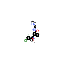 CC(=O)CNCCCNC(=O)c1ccc(C2=NOC(c3cc(Cl)cc(Cl)c3)(C(F)(F)F)C2)c2ccccc12